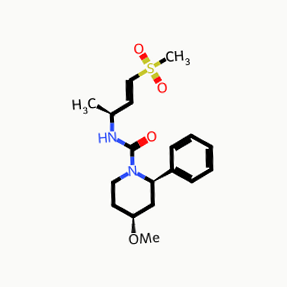 CO[C@H]1CCN(C(=O)N[C@@H](C)/C=C/S(C)(=O)=O)[C@@H](c2ccccc2)C1